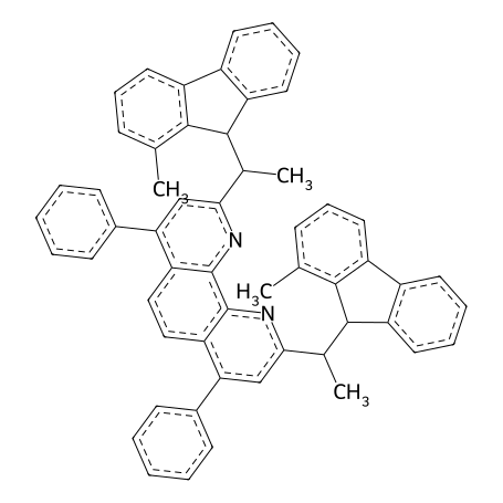 Cc1cccc2c1C(C(C)c1cc(-c3ccccc3)c3ccc4c(-c5ccccc5)cc(C(C)C5c6ccccc6-c6cccc(C)c65)nc4c3n1)c1ccccc1-2